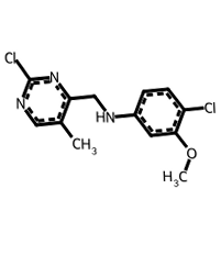 COc1cc(NCc2nc(Cl)ncc2C)ccc1Cl